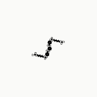 CCC(=O)OCCCCCCOC(=O)Oc1ccc(C(=O)Oc2ccc(OC(=O)c3ccc(OC(=O)OCCCCCCOC(=O)CC)cc3)cc2)cc1